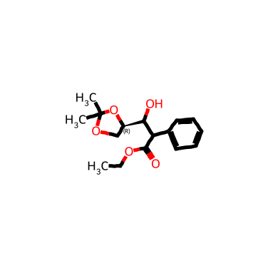 CCOC(=O)C(c1ccccc1)C(O)[C@H]1COC(C)(C)O1